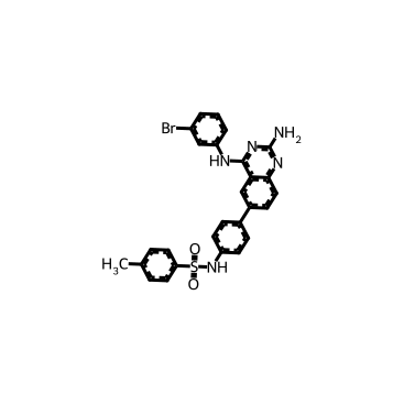 Cc1ccc(S(=O)(=O)Nc2ccc(-c3ccc4nc(N)nc(Nc5cccc(Br)c5)c4c3)cc2)cc1